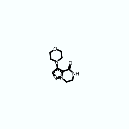 O=C1NCCn2ncc(N3CCOCC3)c21